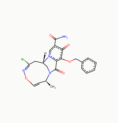 C[C@H]1/C=C\O/N=C(/Br)C[C@H]2CN1C(=O)c1c(OCc3ccccc3)c(=O)c(C(N)=O)cn12